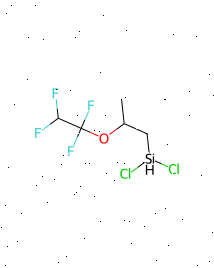 CC(C[SiH](Cl)Cl)OC(F)(F)C(F)F